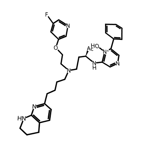 CC(=O)[C@H](CCN(CCCCc1ccc2c(n1)NCCC2)CCOc1cncc(F)c1)Nc1cncc(-c2ccccc2)[n+]1O